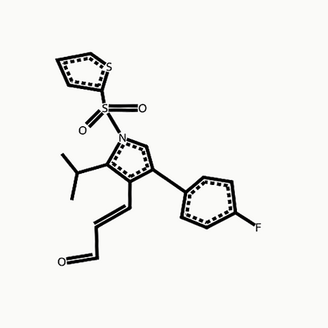 CC(C)c1c(C=CC=O)c(-c2ccc(F)cc2)cn1S(=O)(=O)c1cccs1